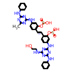 Cc1nc(Nc2ccccc2)nc(Nc2ccc(/C=C/c3ccc(Nc4nc(NCCO)nc(Nc5ccccc5)n4)cc3OS(=O)O)c(OS(=O)O)c2)n1